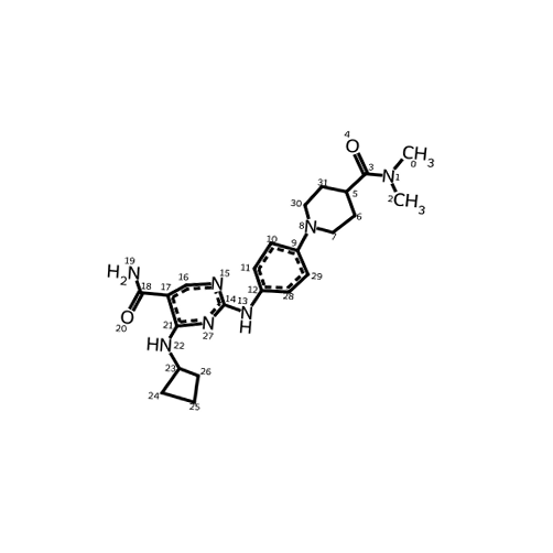 CN(C)C(=O)C1CCN(c2ccc(Nc3ncc(C(N)=O)c(NC4CCC4)n3)cc2)CC1